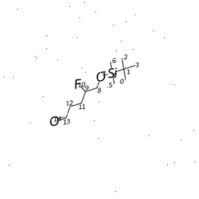 CC(C)(C)[Si](C)(C)OCC(F)CCC=O